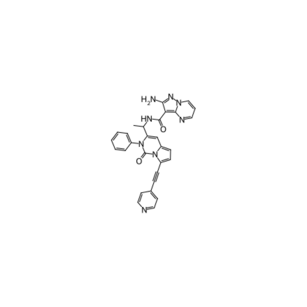 CC(NC(=O)c1c(N)nn2cccnc12)c1cc2ccc(C#Cc3ccncc3)n2c(=O)n1-c1ccccc1